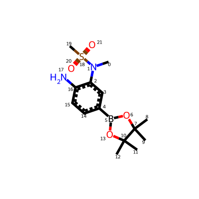 CN(c1cc(B2OC(C)(C)C(C)(C)O2)ccc1N)S(C)(=O)=O